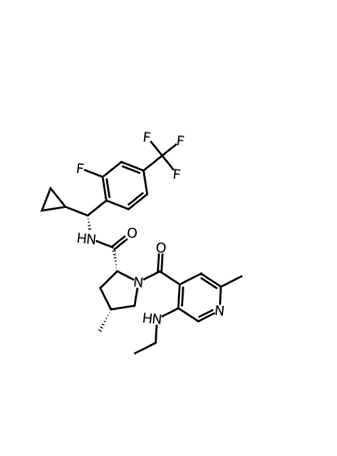 CCNc1cnc(C)cc1C(=O)N1C[C@H](C)C[C@@H]1C(=O)N[C@@H](c1ccc(C(F)(F)F)cc1F)C1CC1